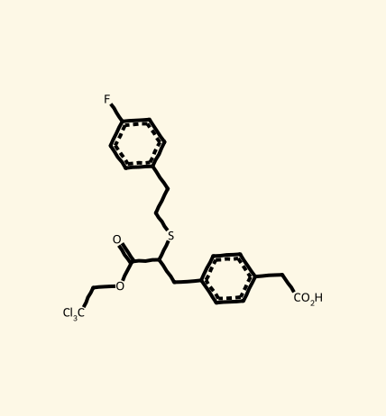 O=C(O)Cc1ccc(CC(SCCc2ccc(F)cc2)C(=O)OCC(Cl)(Cl)Cl)cc1